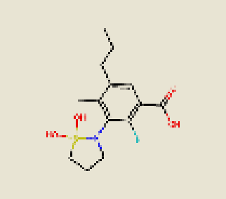 CCCc1cc(C(=O)O)c(F)c(N2CCCS2(O)O)c1C